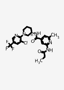 CCC(=O)Nc1cc(C(=O)N[C@@H]2CCCN(c3ncc(C(F)(F)F)cc3Cl)C2)cc(C)n1